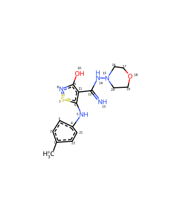 Cc1ccc(Nc2snc(O)c2C(=N)NN2CCOCC2)cc1